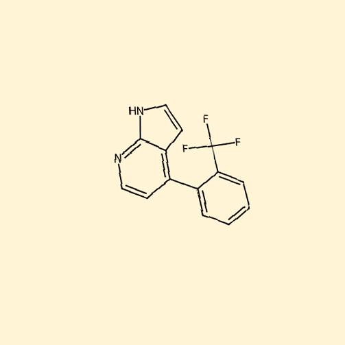 FC(F)(F)c1ccccc1-c1ccnc2[nH]ccc12